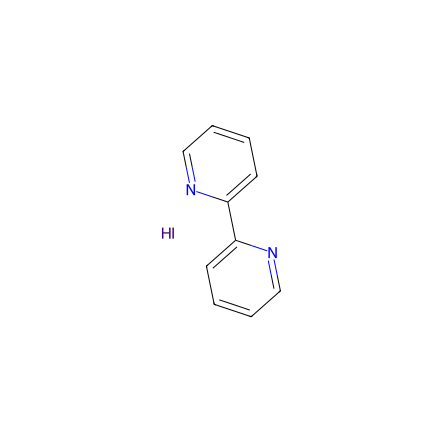 I.c1ccc(-c2ccccn2)nc1